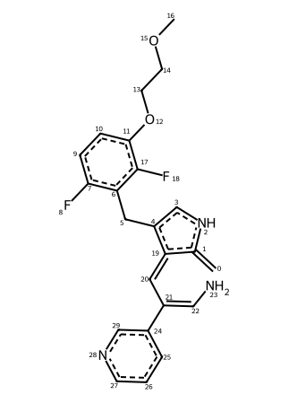 C=c1[nH]cc(Cc2c(F)ccc(OCCOC)c2F)/c1=C/C(=C\N)c1cccnc1